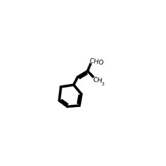 CC(C=O)=CC1C=CC=CC1